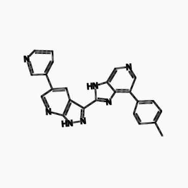 Cc1ccc(-c2cncc3[nH]c(-c4n[nH]c5ncc(-c6cccnc6)cc45)nc23)cc1